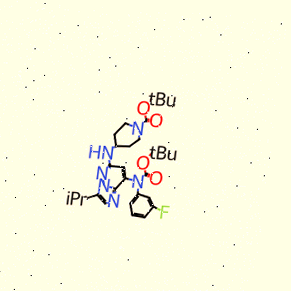 CC(C)c1cnc2c(N(C(=O)OC(C)(C)C)c3cccc(F)c3)cc(NC3CCN(C(=O)OC(C)(C)C)CC3)nn12